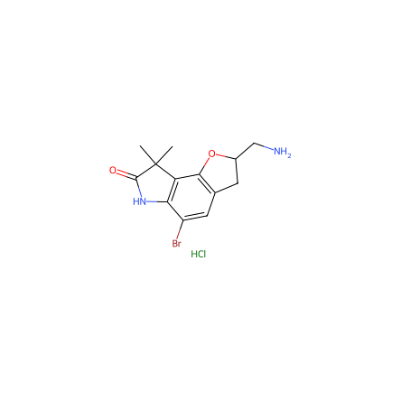 CC1(C)C(=O)Nc2c(Br)cc3c(c21)OC(CN)C3.Cl